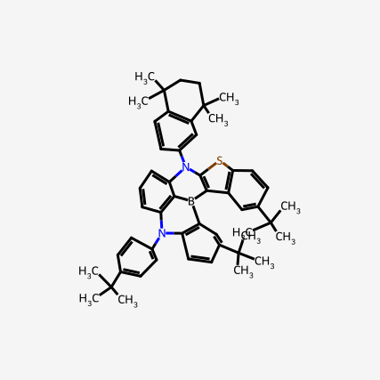 CC(C)(C)c1ccc(N2c3ccc(C(C)(C)C)cc3B3c4c2cccc4N(c2ccc4c(c2)C(C)(C)CCC4(C)C)c2sc4ccc(C(C)(C)C)cc4c23)cc1